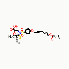 CC(=O)OCCCCC#CCOc1ccc(S(=O)(=O)N2CC(C(=O)O)OC(C)(C)C2=S)cc1